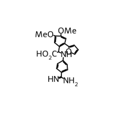 COc1cc(-c2ccco2)c(C(Nc2ccc(C(=N)N)cc2)C(=O)O)cc1OC